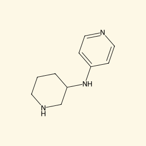 c1cc(NC2CCCNC2)ccn1